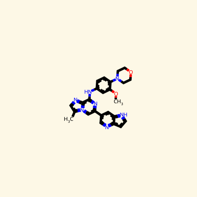 COc1cc(Nc2nc(-c3cnc4cc[nH]c4c3)cn3c(C)cnc23)ccc1N1CCOCC1